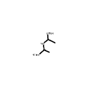 CCCCCC[CH](C)[Nd][CH](C)CCCCCC